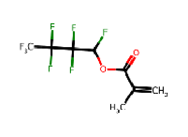 C=C(C)C(=O)OC(F)C(F)(F)C(F)(F)C(F)(F)F